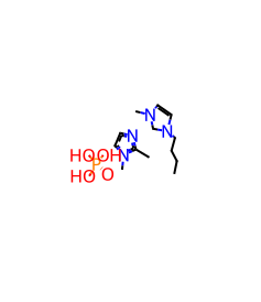 CCCCN1C=CN(C)C1.Cc1nccn1C.O=P(O)(O)O